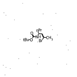 CCC[C@@H](/C=C(/C)Br)NC(=O)OC(C)(C)C